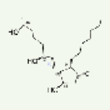 CCCCCCC[C@@H]1[C@@H](/C=C/[C@@H](O)CCC[C@@H](C)O)[C@H](O)C[C@H]1Cl